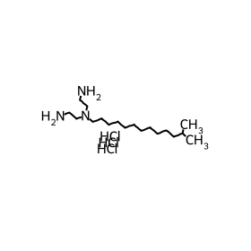 CC(C)CCCCCCCCCCCN(CCN)CCN.Cl.Cl.Cl